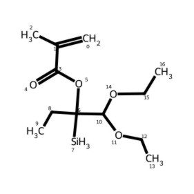 C=C(C)C(=O)OC([SiH3])(CC)C(OCC)OCC